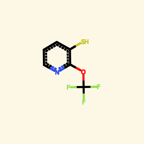 FC(F)(F)Oc1ncccc1S